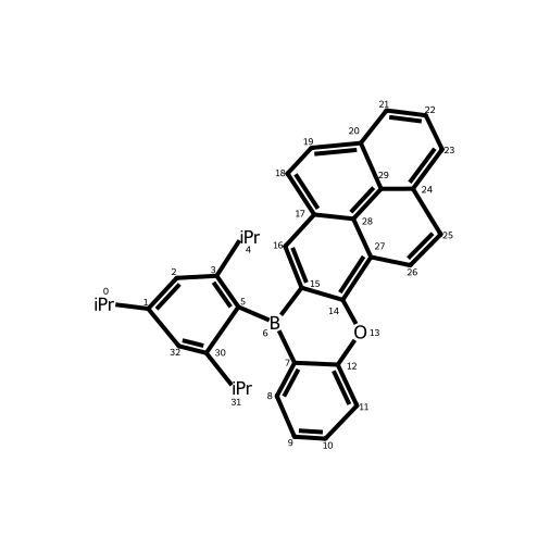 CC(C)c1cc(C(C)C)c(B2c3ccccc3Oc3c2cc2ccc4cccc5ccc3c2c45)c(C(C)C)c1